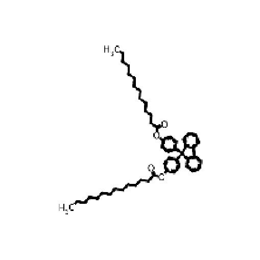 CCCCCCCCCCCCCC(=O)Oc1ccc(C2(c3ccc(OC(=O)CCCCCCCCCCCCC)cc3)c3ccccc3-c3ccccc32)cc1